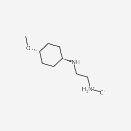 [CH2-][NH2+]CCN[C@H]1CC[C@H](OC)CC1